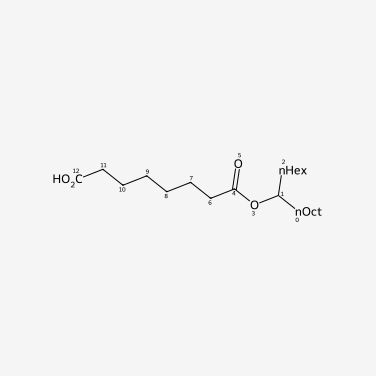 CCCCCCCCC(CCCCCC)OC(=O)CCCCCCC(=O)O